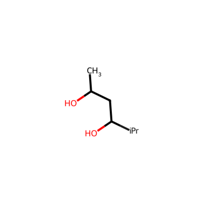 CC(O)CC(O)C(C)C